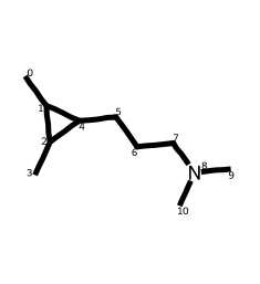 CC1C(C)C1CCCN(C)C